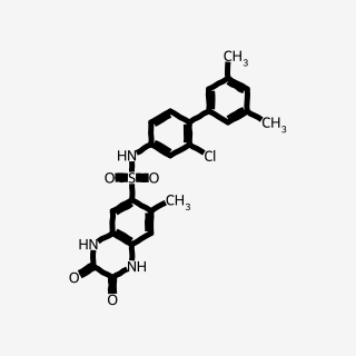 Cc1cc(C)cc(-c2ccc(NS(=O)(=O)c3cc4[nH]c(=O)c(=O)[nH]c4cc3C)cc2Cl)c1